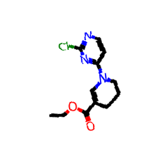 CCOC(=O)C1=CN(c2ccnc(Cl)n2)CCC1